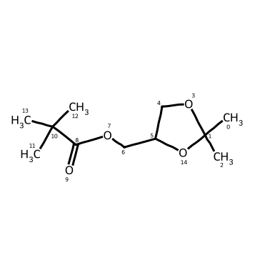 CC1(C)OCC(COC(=O)C(C)(C)C)O1